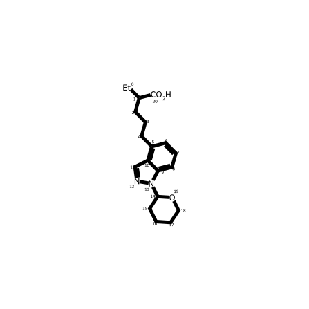 CCC(CCCc1cccc2c1cnn2C1CCCCO1)C(=O)O